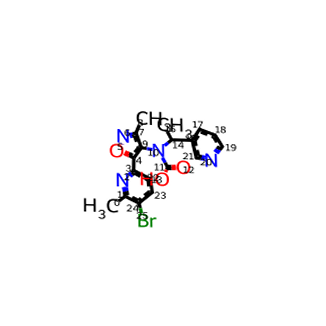 Cc1nc(-c2onc(C)c2N(C(=O)O)C(C)c2cccnc2)ccc1Br